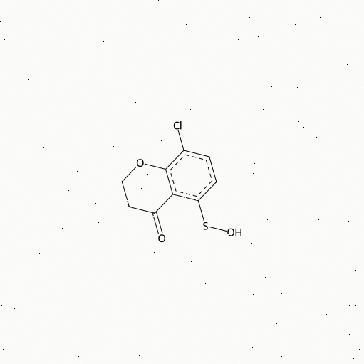 O=C1CCOc2c(Cl)ccc(SO)c21